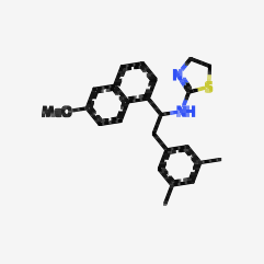 COc1ccc2c(C(Cc3cc(C)cc(C)c3)NC3=NCCS3)cccc2c1